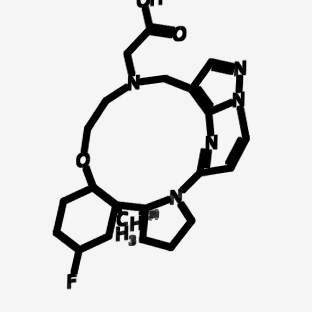 CC12CC(F)CCC1OCCN(CC(=O)O)Cc1cnn3ccc(nc13)N1CCC[C@@H]12